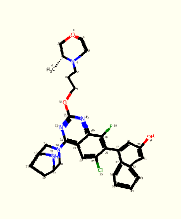 C[C@@H]1COCCN1CCCOc1nc(N2CC3CCC(C2)N3)c2cc(Cl)c(-c3cc(O)cc4ccccc34)c(F)c2n1